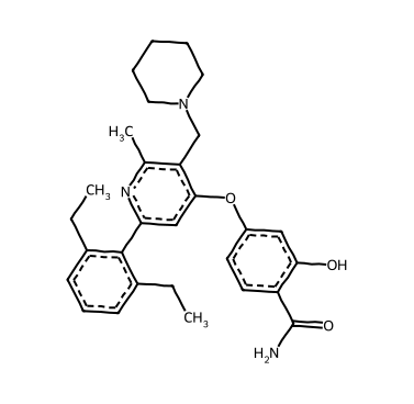 CCc1cccc(CC)c1-c1cc(Oc2ccc(C(N)=O)c(O)c2)c(CN2CCCCC2)c(C)n1